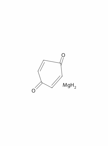 O=C1C=CC(=O)C=C1.[MgH2]